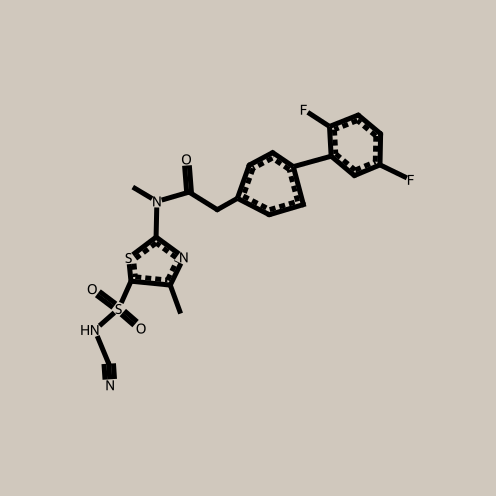 Cc1nc(N(C)C(=O)Cc2ccc(-c3cc(F)ccc3F)cc2)sc1S(=O)(=O)NC#N